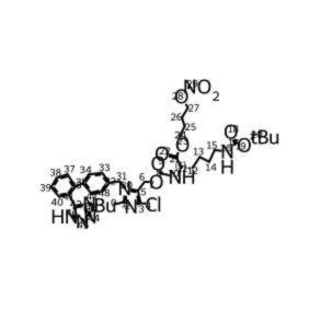 CCCCc1nc(Cl)c(COC(=O)N[C@@H](CCCCNC(=O)OC(C)(C)C)C(=O)OCCCCO[N+](=O)[O-])n1Cc1ccc(-c2ccccc2-c2nnn[nH]2)cc1